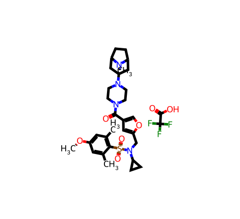 COc1cc(C)c(S(=O)(=O)N(Cc2cc(C(=O)N3CCN(C4CC5CCC(C4)N5C)CC3)co2)C2CC2)c(C)c1.O=C(O)C(F)(F)F